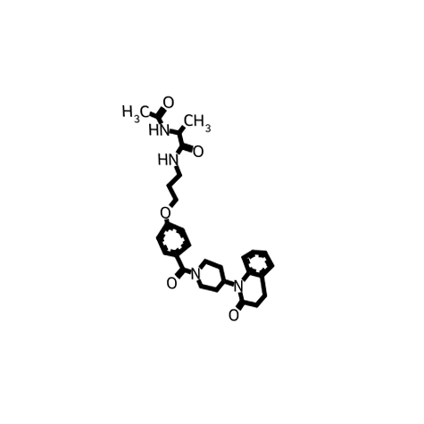 CC(=O)NC(C)C(=O)NCCCOc1ccc(C(=O)N2CCC(N3C(=O)CCc4ccccc43)CC2)cc1